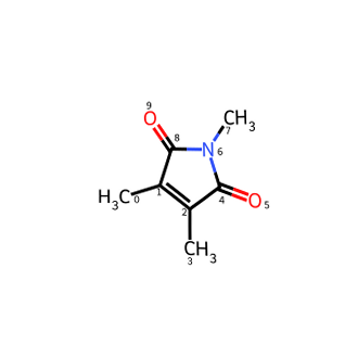 CC1=C(C)C(=O)N(C)C1=O